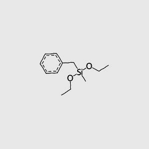 CCO[Si](C)(Cc1ccccc1)OCC